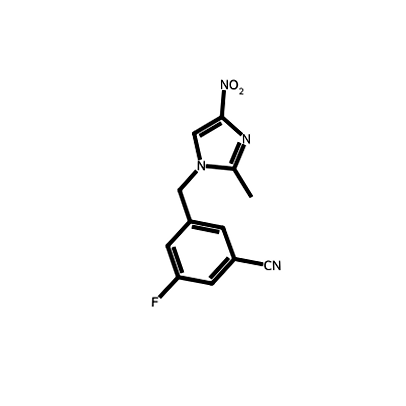 Cc1nc([N+](=O)[O-])cn1Cc1cc(F)cc(C#N)c1